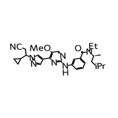 CCN(C(=O)c1cccc(Nc2ncc(OC)c(-c3cnn(C(CC#N)C4CC4)c3)n2)c1)[C@@H](C)CC(C)C